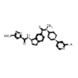 COc1cc(C(=O)N[C@@H]2CCc3ccc(C(=O)N(C)C4CCN(c5ccnc(C)c5)CC4)cc32)on1